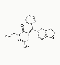 CCOC(=O)/C(CC(=O)O)=C(\c1ccccc1)c1ccc2c(c1)SCO2